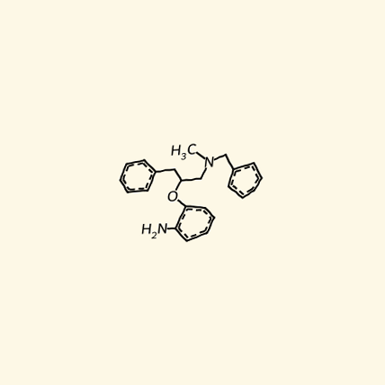 CN(Cc1ccccc1)CC(Cc1ccccc1)Oc1ccccc1N